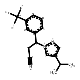 CC(C)c1cnn(C(CC#N)c2cccc(C(F)(F)F)c2)c1